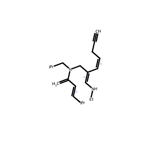 C#CC/C=C\C(=C/NCC)CN(CC(C)C)C(=C)/C=C/C(C)C